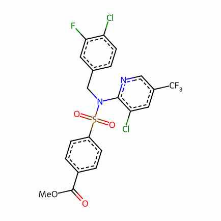 COC(=O)c1ccc(S(=O)(=O)N(Cc2ccc(Cl)c(F)c2)c2ncc(C(F)(F)F)cc2Cl)cc1